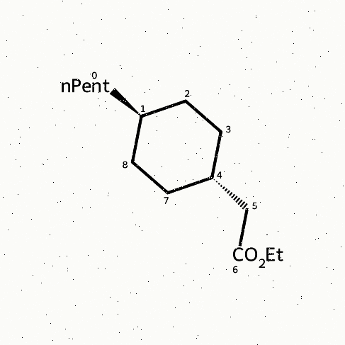 CCCCC[C@H]1CC[C@H](CC(=O)OCC)CC1